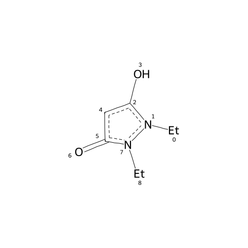 CCn1c(O)cc(=O)n1CC